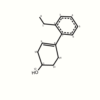 CCc1ccccc1C1=CCC(O)CC1